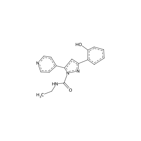 CCNC(=O)n1nc(-c2ccccc2O)cc1-c1ccncc1